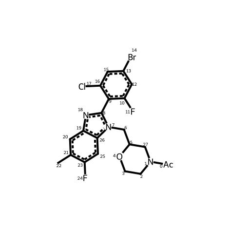 CC(=O)N1CCOC(Cn2c(-c3c(F)cc(Br)cc3Cl)nc3cc(C)c(F)cc32)C1